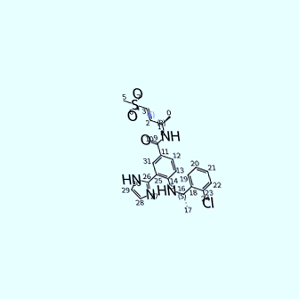 C[C@H](/C=C/S(C)(=O)=O)NC(=O)c1ccc(N[C@@H](C)c2ccccc2Cl)c(-c2ncc[nH]2)c1